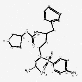 CC(C)CN(CCC(Cc1ccccc1)NC(=O)OC1CCOC1)S(=O)(=O)c1ccc(N)cc1